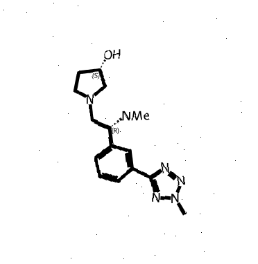 CN[C@@H](CN1CC[C@H](O)C1)c1cccc(-c2nnn(C)n2)c1